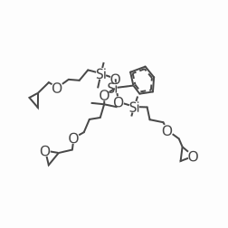 CC(C)(CCCOCC1CO1)O[Si](O[Si](C)(C)CCCOCC1CC1)(O[Si](C)(C)CCCOCC1CO1)c1ccccc1